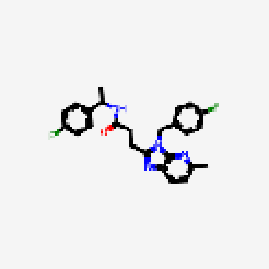 Cc1ccc2nc(CCC(=O)NC(C)c3ccc(F)cc3)n(Cc3ccc(F)cc3)c2n1